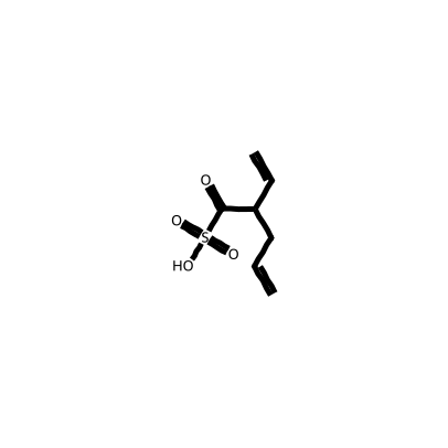 C=CCC(C=C)C(=O)S(=O)(=O)O